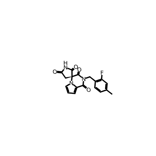 Cc1ccc(CN2C(=O)c3cccn3[C@@]3(CC(=O)NC3=O)C2=O)c(F)c1